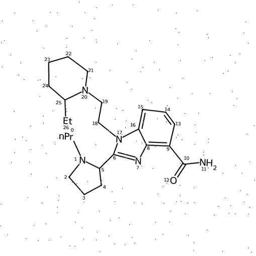 CCCN1CCCC1c1nc2c(C(N)=O)cccc2n1CCN1CCCCC1CC